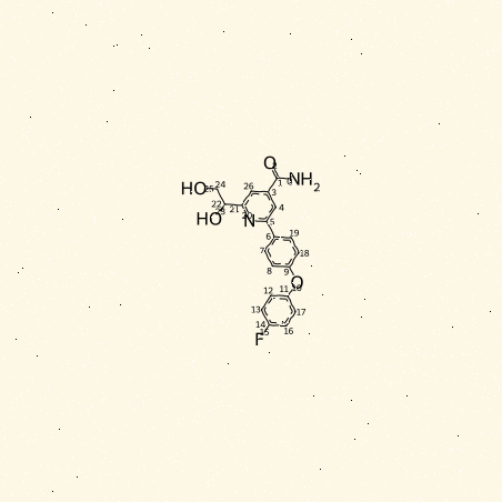 NC(=O)c1cc(-c2ccc(Oc3ccc(F)cc3)cc2)nc([C@@H](O)CO)c1